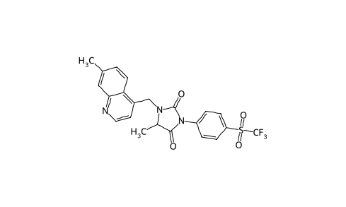 Cc1ccc2c(CN3C(=O)N(c4ccc(S(=O)(=O)C(F)(F)F)cc4)C(=O)C3C)ccnc2c1